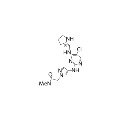 CNC(=O)Cn1cc(Nc2ncc(Cl)c(NC[C@H]3CCCN3)n2)cn1